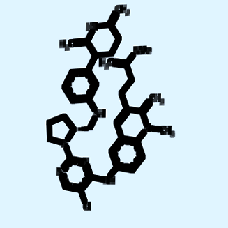 C=C(CCC1=Cc2cc(Nc3nc(N4CCC[C@@H]4CNc4cccc(C5CCC(=C)NC5=C)c4)ncc3Cl)ccc2N(C)C1=C)NC